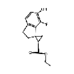 CCOC(=O)[C@@H]1C[C@]12CCc1ccc(O)c(F)c12